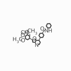 COc1cc(-c2cc3nccc(-c4ccc(C(=O)Nc5ccccc5)cc4)c3o2)cc(OC)c1OC